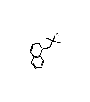 FC(F)(F)C(F)(F)CN1CC=Cc2ccncc21